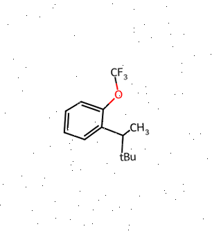 CC(c1ccccc1OC(F)(F)F)C(C)(C)C